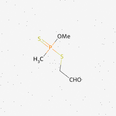 COP(C)(=S)SC[C]=O